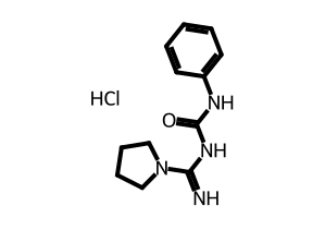 Cl.N=C(NC(=O)Nc1ccccc1)N1CCCC1